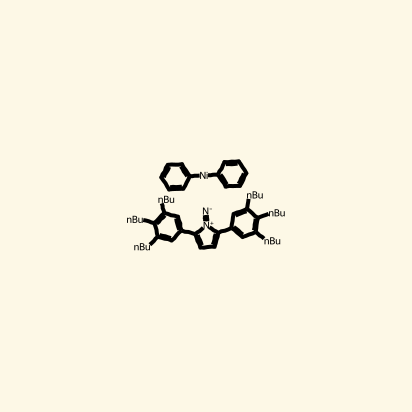 CCCCc1cc(C2=CC=C(c3cc(CCCC)c(CCCC)c(CCCC)c3)[N+]2=[N-])cc(CCCC)c1CCCC.c1cc[c]([Ni][c]2ccccc2)cc1